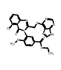 CCOC(=O)c1ccc(OC)c(-n2c(CSc3ncnc4[nH]cnc34)nc3cccc(Cl)c3c2=O)c1